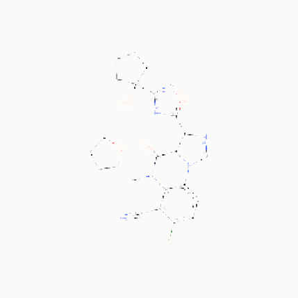 N#Cc1c(Cl)ccc2c1N(CC1CCCO1)C(=O)C1C(c3nc(C4(O)CCCC4)no3)N=CN21